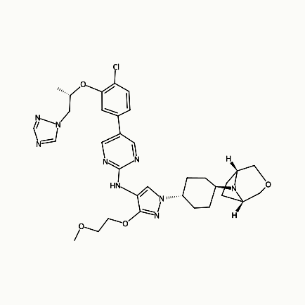 COCCOc1nn([C@H]2CC[C@H](N3[C@@H]4CC[C@H]3COC4)CC2)cc1Nc1ncc(-c2ccc(Cl)c(O[C@@H](C)Cn3cncn3)c2)cn1